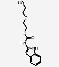 O=C(Nc1nc2ccccc2[nH]1)OCCOCCO